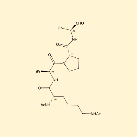 CC(=O)NCCCC[C@H](NC(C)=O)C(=O)N[C@H](C(=O)N1CCC[C@H]1C(=O)N[C@H](C=O)C(C)C)C(C)C